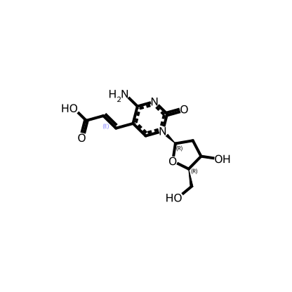 Nc1nc(=O)n([C@H]2CC(O)[C@@H](CO)O2)cc1/C=C/C(=O)O